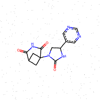 O=C1NC(=O)C2(N3CC(c4cncnc4)NC3=O)CC1C2